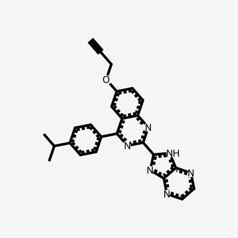 C#CCOc1ccc2nc(-c3nc4nccnc4[nH]3)nc(-c3ccc(C(C)C)cc3)c2c1